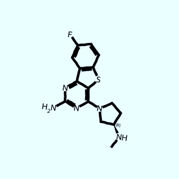 CN[C@@H]1CCN(c2nc(N)nc3c2sc2ccc(F)cc23)C1